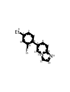 CCc1ccc(-c2ccc3nccn3c2)c(F)c1